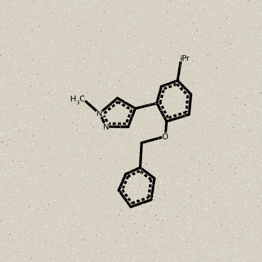 CC(C)c1ccc(OCc2ccccc2)c(-c2cnn(C)c2)c1